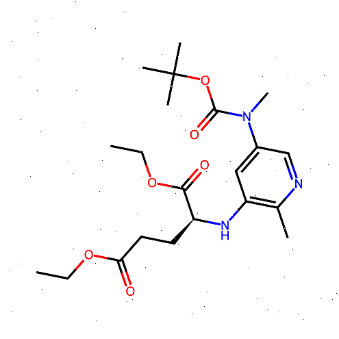 CCOC(=O)CC[C@H](Nc1cc(N(C)C(=O)OC(C)(C)C)cnc1C)C(=O)OCC